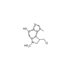 Cc1csc2c(O)cc3c(c12)C(CCl)CN3C(=O)O